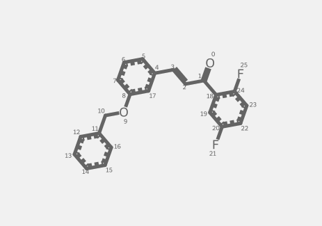 O=C(/C=C/c1cccc(OCc2ccccc2)c1)c1cc(F)ccc1F